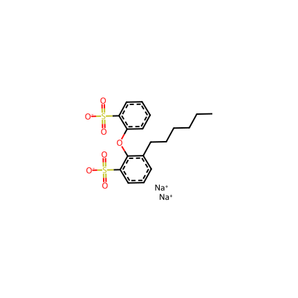 CCCCCCc1cccc(S(=O)(=O)[O-])c1Oc1ccccc1S(=O)(=O)[O-].[Na+].[Na+]